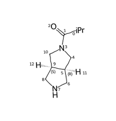 CC(C)C(=O)N1C[C@H]2CNC[C@H]2C1